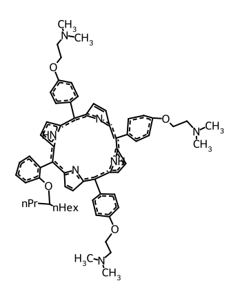 CCCCCCC(CCC)Oc1ccccc1-c1c2nc(c(-c3ccc(OCCN(C)C)cc3)c3ccc([nH]3)c(-c3ccc(OCCN(C)C)cc3)c3nc(c(-c4ccc(OCCN(C)C)cc4)c4ccc1[nH]4)C=C3)C=C2